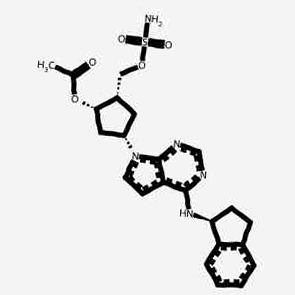 CC(=O)O[C@H]1C[C@@H](n2ccc3c(N[C@H]4CCc5ccccc54)ncnc32)C[C@H]1COS(N)(=O)=O